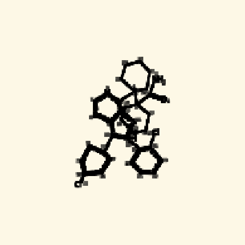 NC(=O)C1([N+]2(c3ncnc4c(-c5ccc(Cl)cc5)n(-c5ccccc5Cl)nc34)CCCCC2)CCNCC1